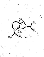 CC(C)N1C[C@@]2(C)CCCN(C(C)C)[C@@]2(C)C1